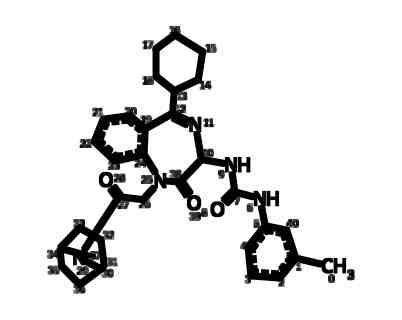 Cc1cccc(NC(=O)NC2N=C(C3CCCCC3)c3ccccc3N(CC(=O)N3CC4CCC(CC4)C3)C2=O)c1